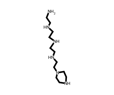 NCCNCCNCCNCCN1CCNCC1